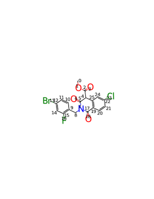 COC(=O)C1C(=O)N(Cc2ccc(Br)cc2F)C(=O)c2ccc(Cl)cc21